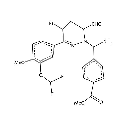 CCC1CC(C=O)N(C(N)c2ccc(C(=O)OC)cc2)N=C1c1ccc(OC)c(OC(F)F)c1